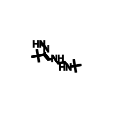 CC(C)(C)NCCN/C=C(\N=N)C(C)(C)C